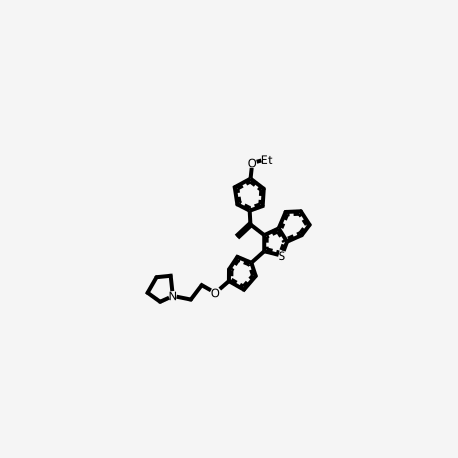 [CH2]COc1ccc(C(=C)c2c(-c3ccc(OCCN4CCCC4)cc3)sc3ccccc23)cc1